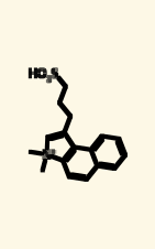 C[N+]1(C)C=C(CCCS(=O)(=O)O)c2c1ccc1ccccc21